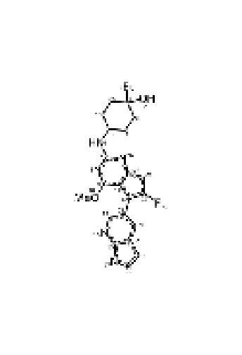 CCC1(O)CCC(Nc2nc(OC)c3c(-c4cnc5nccn5c4)c(F)cn3n2)CC1